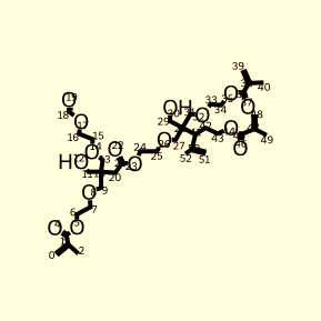 C=C(C)C(=O)OCCOCC(CO)(COCCOC=O)CC(=O)OCCOCC(CO)(COCCOC(=O)C(=C)C)C(CCOC(=O)C(=C)C)C(=C)C